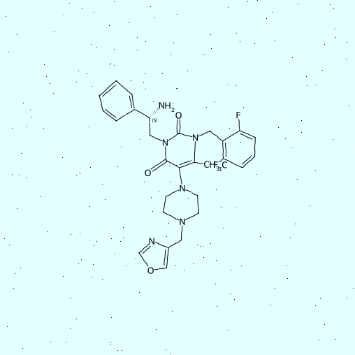 Cc1c(N2CCN(Cc3cocn3)CC2)c(=O)n(C[C@@H](N)c2ccccc2)c(=O)n1Cc1c(F)cccc1C(F)(F)F